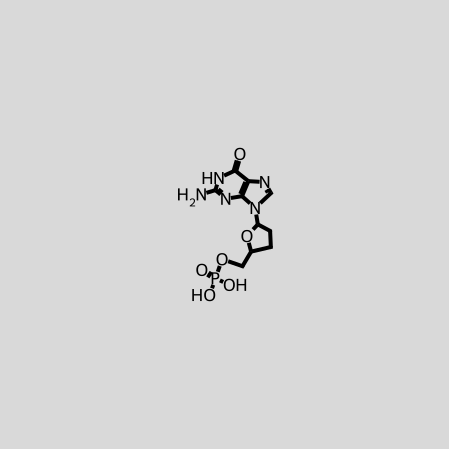 Nc1nc2c(ncn2C2CCC(COP(=O)(O)O)O2)c(=O)[nH]1